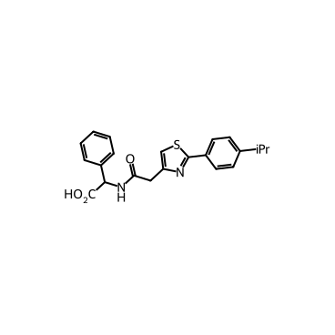 CC(C)c1ccc(-c2nc(CC(=O)NC(C(=O)O)c3ccccc3)cs2)cc1